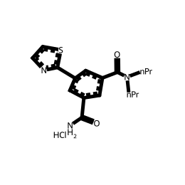 CCCN(CCC)C(=O)c1cc(C(N)=O)cc(-c2nccs2)c1.Cl